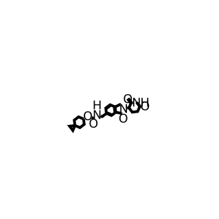 O=C1CCC(N2Cc3ccc(CNC(=O)OC4CCC5(CC4)CC5)cc3C2=O)C(=O)N1